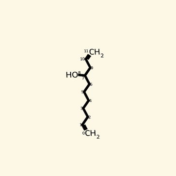 C=CCCCCCC(O)CC=C